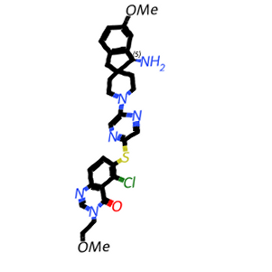 COCCn1cnc2ccc(Sc3cnc(N4CCC5(CC4)Cc4ccc(OC)cc4[C@H]5N)cn3)c(Cl)c2c1=O